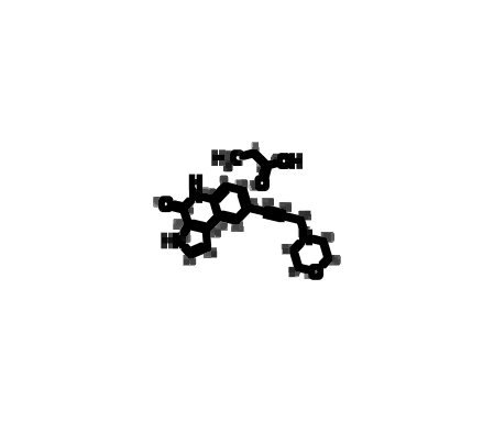 CCC(=O)O.O=c1[nH]c2ccc(C#CCN3CCOCC3)cc2c2cc[nH]c12